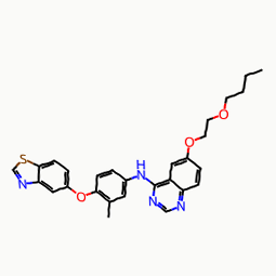 CCCCOCCOc1ccc2ncnc(Nc3ccc(Oc4ccc5scnc5c4)c(C)c3)c2c1